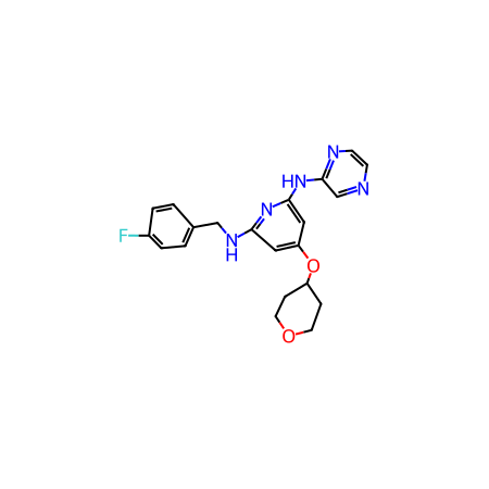 Fc1ccc(CNc2cc(OC3CCOCC3)cc(Nc3cnccn3)n2)cc1